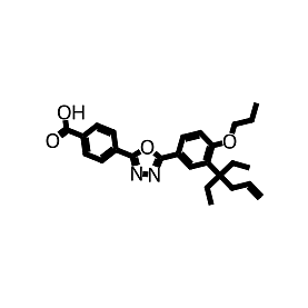 C=CCC(CC)(CC)c1cc(-c2nnc(-c3ccc(C(=O)O)cc3)o2)ccc1OCCC